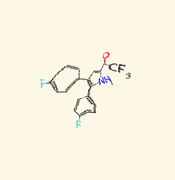 O=C(c1cc(-c2ccc(F)cc2)c(-c2ccc(F)cc2)[nH]1)C(F)(F)F